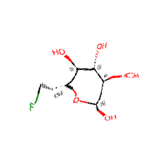 O[C@@H]1[C@@H](O)[C@@H](O)O[C@H](CF)[C@H]1O